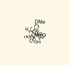 COc1ccc2nc(Nc3nc(O)c4cccc(O)c4n3)nc(C)c2c1.O=C(O)C(F)(F)F